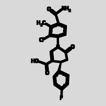 Cc1c(C(N)=O)ccc(N2C=C(C(=O)O)[C@H](c3ccc(F)cc3)CC2=O)c1Cl